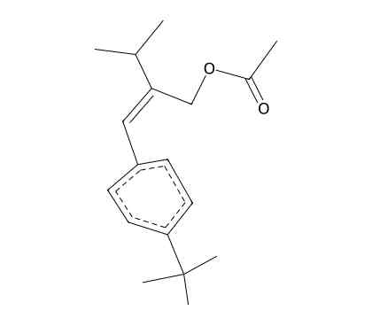 CC(=O)OCC(=Cc1ccc(C(C)(C)C)cc1)C(C)C